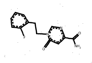 NC(=O)c1cc(=O)n(CCc2ccccc2F)cn1